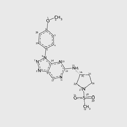 COc1ccc(-n2nnc3cnc(N[C@@H]4CCN(S(C)(=O)=O)C4)nc32)cc1